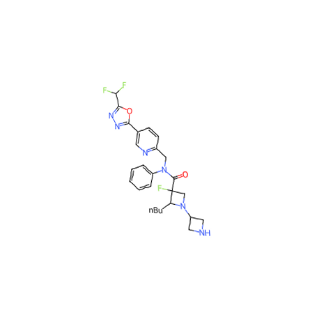 CCCCC1N(C2CNC2)CC1(F)C(=O)N(Cc1ccc(-c2nnc(C(F)F)o2)cn1)c1ccccc1